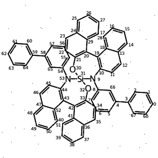 c1ccc(-c2cccc(N3c4ccc5ccccc5c4-c4c(ccc5ccccc45)O[Si]34Oc3ccc5ccccc5c3-c3c(ccc5ccccc35)N4c3cccc(-c4ccccc4)c3)c2)cc1